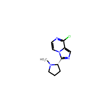 O=C(O)N1CCC[C@H]1c1ncc2c(Cl)nccn12